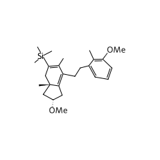 COc1cccc(CCC2=C3C[C@H](OC)C[C@]3(C)CC([Si](C)(C)C)=C2C)c1C